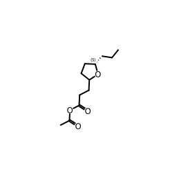 CCC[C@H]1CCC(CCC(=O)OC(C)=O)O1